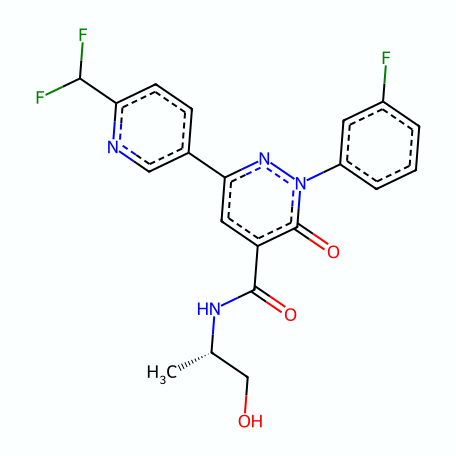 C[C@@H](CO)NC(=O)c1cc(-c2ccc(C(F)F)nc2)nn(-c2cccc(F)c2)c1=O